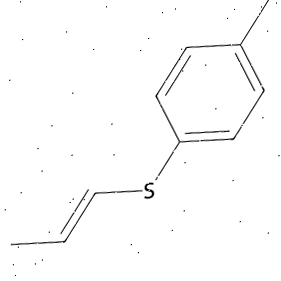 CC=CSc1ccc(C)cc1